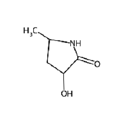 CC1CC(O)C(=O)N1